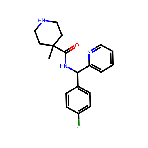 CC1(C(=O)NC(c2ccc(Cl)cc2)c2ccccn2)CCNCC1